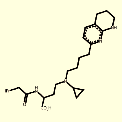 CC(C)CC(=O)NC(CCN(CCCCc1ccc2c(n1)NCCC2)C1CC1)C(=O)O